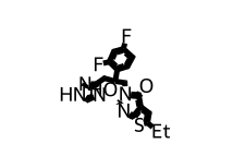 CCc1cc2c(=O)n(CC(O)(Cc3nc[nH]n3)c3ccc(F)cc3F)cnc2s1